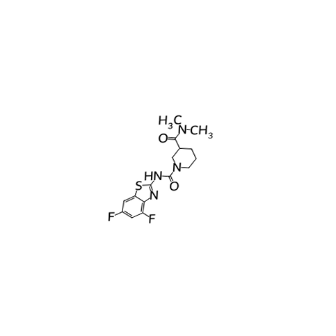 CN(C)C(=O)C1CCCN(C(=O)Nc2nc3c(F)cc(F)cc3s2)C1